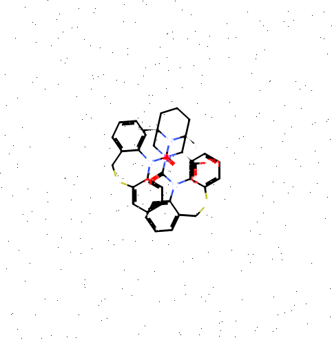 O=C(O)[C@@H]1[C@H]2CCC[C@@H](CN1C(=O)N1c3ccccc3CSc3ccccc31)N2C(=O)N1c2ccccc2CSc2ccccc21